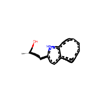 C[C@H](O)Cc1cc2ccccc2[nH]1